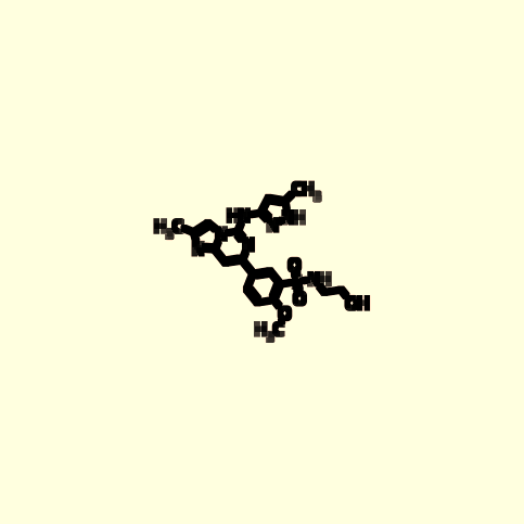 COc1ccc(-c2cc3nc(C)cn3c(Nc3cc(C)[nH]n3)n2)cc1S(=O)(=O)NCCO